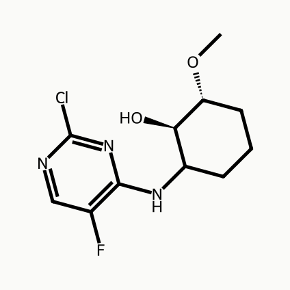 CO[C@@H]1CCCC(Nc2nc(Cl)ncc2F)[C@H]1O